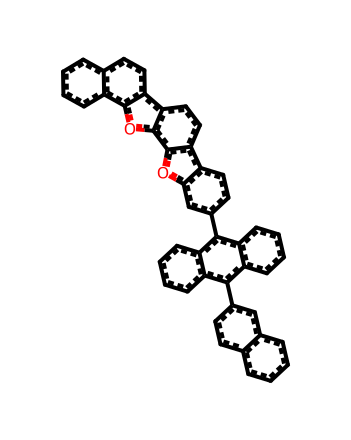 c1ccc2cc(-c3c4ccccc4c(-c4ccc5c(c4)oc4c5ccc5c6ccc7ccccc7c6oc54)c4ccccc34)ccc2c1